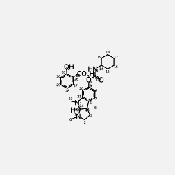 CN1CC[C@]2(C)c3ccc(OC(=O)NC4CCCCC4)cc3N(C)[C@H]12.O=C(O)c1ccccc1O